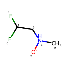 C[NH+]([O-])CC(F)F